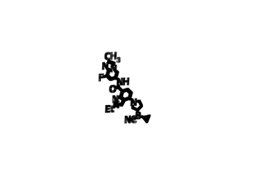 CCn1cc2c(N3CCC(B(C#N)C4CC4)C3)ccc(C(=O)Nc3cc(F)c4nc(C)cn4c3)c2n1